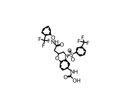 O=C(O)Nc1ccc2c(c1)N(S(=O)(=O)c1cccc(C(F)(F)F)c1)CC(CC(=O)NOc1ccccc1C(F)(F)F)O2